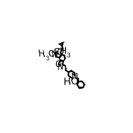 CN(C)Cc1c(OCC2CC2)ccc2c(CCC3CCN(CC4(O)CCCCC4)CC3)noc12